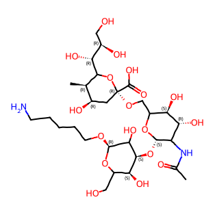 CC(=O)NC1[C@H](O[C@@H]2C(O)[C@H](OCCCCCN)OC(CO)[C@@H]2O)OC(CO[C@]2(C(=O)O)C[C@@H](O)[C@@H](C)C([C@H](O)[C@H](O)CO)O2)[C@@H](O)[C@@H]1O